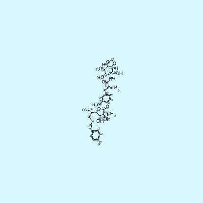 C/C(=C/COc1ccc(F)cc1)[C@H]1O[C@@H](Oc2ccc(/C=C(\C)C(=O)N[C@@H]3[C@H](O)[C@@H](O)[C@H]4OCO[C@H]4[C@@H]3O)cc2N)[C@@](C)(O)[C@@H]1O